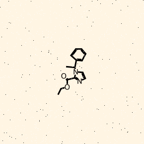 CCOC(=O)c1nccn1C(C)c1ccccc1